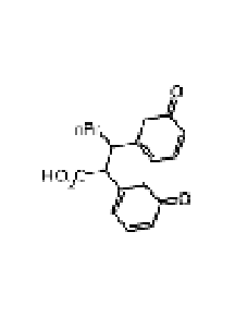 CCCC(C1=CC=CC(=O)C1)C(C(=O)O)C1=CC=CC(=O)C1